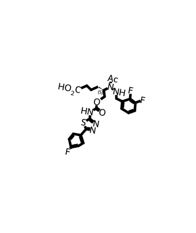 CC(=O)N(NCc1cccc(F)c1F)[C@@H](CCCC(=O)O)COC(=O)Nc1nnc(-c2ccc(F)cc2)s1